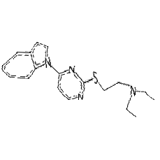 CCN(CC)CCSc1nccc(-n2ccc3ccccc32)n1